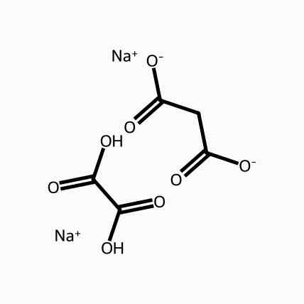 O=C(O)C(=O)O.O=C([O-])CC(=O)[O-].[Na+].[Na+]